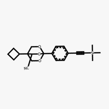 C[Si](C)(C)C#Cc1ccc(C23OCC(C4CCC4)(CO2)C(C#N)O3)cc1